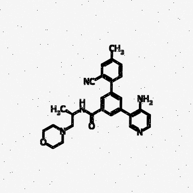 Cc1ccc(-c2cc(C(=O)N[C@H](C)CN3CCOCC3)cc(-c3cnccc3N)c2)c(C#N)c1